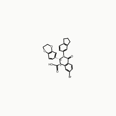 O=C(O)[C@@H]1c2cc(Br)ccc2C(=O)N(c2ccc3c(c2)CCC3)[C@H]1c1ccc2c(c1)OCCO2